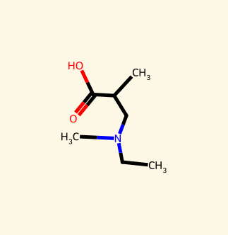 CCN(C)CC(C)C(=O)O